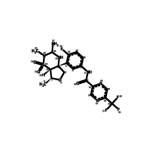 C[C@H]1OC[C@]2(c3cc(NC(=O)c4cnc(C(F)(F)F)cn4)ccc3F)NC(N)N(C)S(=O)(=O)[C@H]12